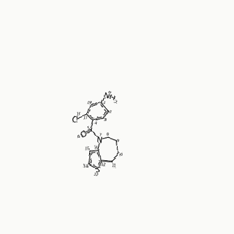 Nc1ccc(C(=O)N2CCCCc3sccc32)c(Cl)c1